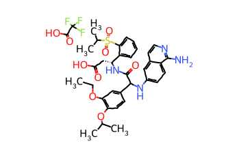 CCOc1cc(C(Nc2ccc3c(N)nccc3c2)C(=O)N[C@H](CC(=O)O)c2ccccc2S(=O)(=O)C(C)C)ccc1OC(C)C.O=C(O)C(F)(F)F